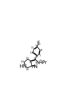 CC(C)n1nc2c(c1-c1ccc(F)cc1)CCNC2